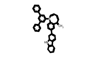 C=C1/C=C\C=C/N(c2cc(-c3ccccc3)cc(-c3ccccc3)c2)c2ccc(C3=CC=C4C5=C(CCC=C5)NC4C3)cc21